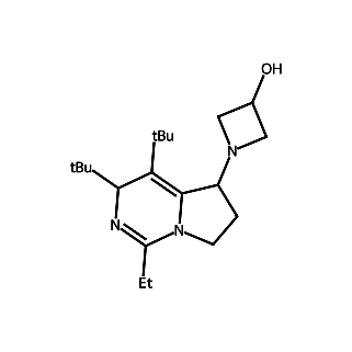 CCC1=NC(C(C)(C)C)C(C(C)(C)C)=C2C(N3CC(O)C3)CCN12